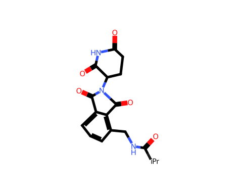 CC(C)C(=O)NCc1cccc2c1C(=O)N(C1CCC(=O)NC1=O)C2=O